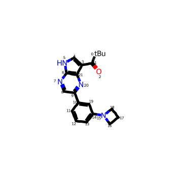 CC(C)(C)C(=O)c1c[nH]c2ncc(-c3cccc(N4CCC4)c3)nc12